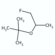 CC(CF)OC(C)(C)C